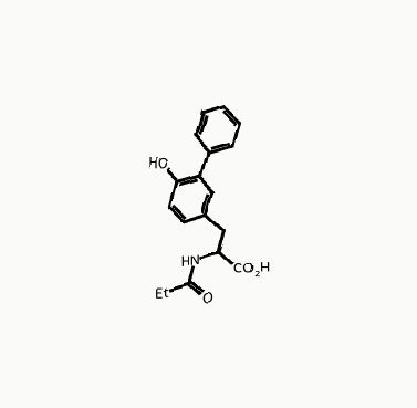 CCC(=O)NC(Cc1ccc(O)c(-c2ccccc2)c1)C(=O)O